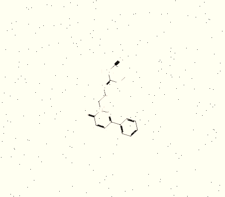 CSC(=NCCn1nc(-c2ccccc2)ccc1=O)NC#N